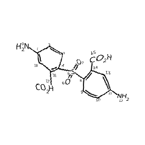 Nc1ccc(S(=O)(=O)c2ccc(N)cc2C(=O)O)c(C(=O)O)c1